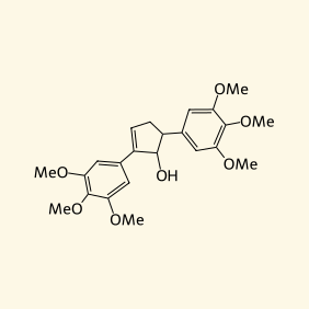 COc1cc(C2=CCC(c3cc(OC)c(OC)c(OC)c3)C2O)cc(OC)c1OC